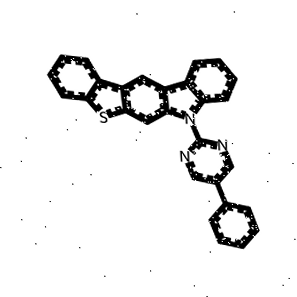 c1ccc(-c2cnc(-n3c4ccccc4c4cc5c(cc43)sc3ccccc35)nc2)cc1